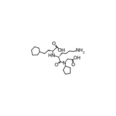 NCCCC[C@H](N[C@@H](CCC1CCCCC1)C(=O)O)C(=O)N(CC(=O)O)C1CCCC1